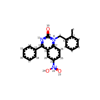 Cc1ccccc1Cn1c(=O)nc(-c2ccccc2)c2cc([N+](=O)[O-])ccc21